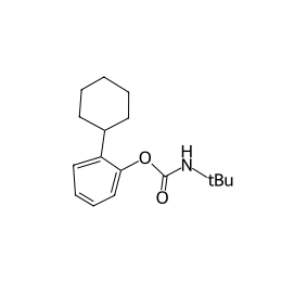 CC(C)(C)NC(=O)Oc1ccccc1C1CCCCC1